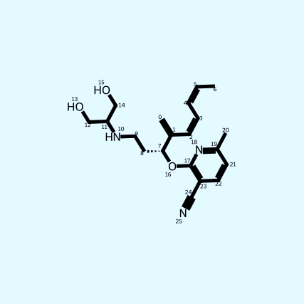 C=C(/C=C\C=C/C)[C@@H](CCNC(CO)CO)Oc1nc(C)ccc1C#N